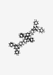 c1ccc(-c2cc(-c3ccccc3)nc(-c3ccc(-c4ccc5c(-c6ccccc6)c6cc(-c7ccc(-c8nc(-c9ccccc9)cc(-c9ccccc9)n8)cc7)ccc6c(-c6ccccc6)c5c4)cc3)n2)cc1